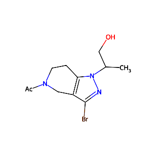 CC(=O)N1CCc2c(c(Br)nn2C(C)CO)C1